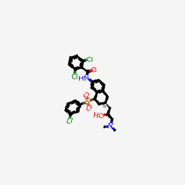 CN(C)CC(O)C[C@@H]1Cc2ccc(NC(=O)c3c(Cl)cccc3Cl)cc2C(S(=O)(=O)c2cccc(Cl)c2)C1